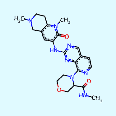 CNC(=O)C1COCCN1c1nccc2cnc(Nc3cc4c(n(C)c3=O)CCN(C)C4)nc12